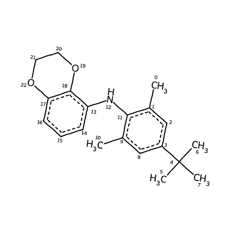 Cc1cc(C(C)(C)C)cc(C)c1Nc1cccc2c1OCCO2